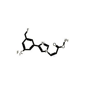 CC(C)OC(=O)/C=C\n1cnc(-c2cc(CF)cc(C(F)(F)F)c2)c1